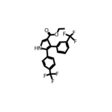 CCOC(=O)c1c[nH]c(-c2ccc(C(F)(F)F)cc2)c1-c1cccc(C(F)(F)F)c1